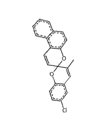 CC1=Cc2cc(Cl)ccc2OC12C=Cc1c(ccc3ccccc13)O2